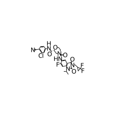 CC(C)n1c(=O)n(CC2CC2(F)F)c(=O)c2cc(NC(=O)N3CCO[C@@H](C(=O)Nc4ccc(C#N)c(Cl)c4)C3)c(F)cc21